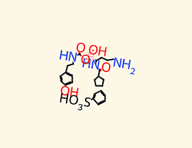 NCCCC(NC(=O)C1CCCC1)B(O)OC(=O)NCCc1ccc(O)cc1.O=S(=O)(O)c1ccccc1